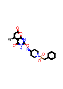 CCc1cc(=O)oc2nc(ON=C3CCN(S(=O)(=O)Cc4ccccc4)CC3)[nH]c(=O)c12